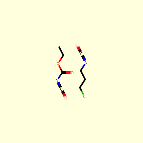 CCOC(=O)N=C=O.O=C=NCCCCl